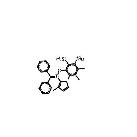 CC1=[C]([Ti]([O]c2c(C)c(C)c(C)c(C(C)(C)C)c2[SiH3])=[C](c2ccccc2)c2ccccc2)CC=C1